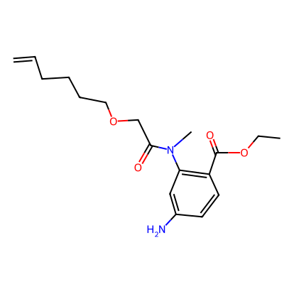 C=CCCCCOCC(=O)N(C)c1cc(N)ccc1C(=O)OCC